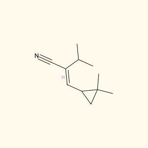 CC(C)/C(C#N)=C\C1CC1(C)C